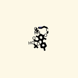 Cc1ccc(-c2c(C)c3c(c(C)c2[C@H](OC(C)(C)C)C(=O)O)NS(=O)(=O)/C=C/CCCCO3)cc1